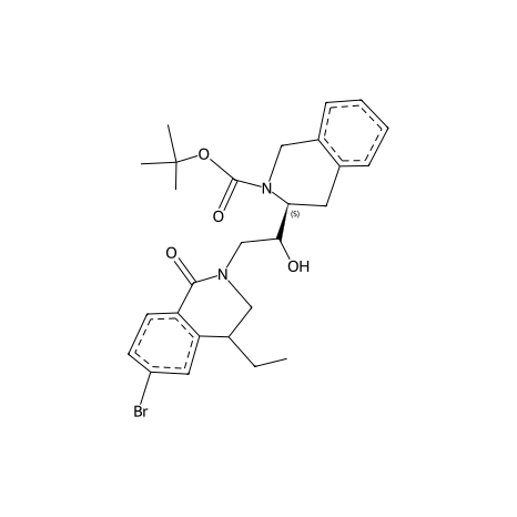 CCC1CN(CC(O)[C@@H]2Cc3ccccc3CN2C(=O)OC(C)(C)C)C(=O)c2ccc(Br)cc21